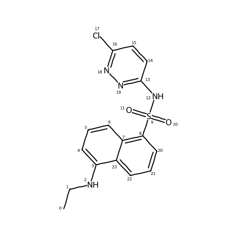 CCNc1cccc2c(S(=O)(=O)Nc3ccc(Cl)nn3)cccc12